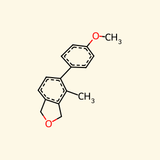 COc1ccc(-c2ccc3c(c2C)COC3)cc1